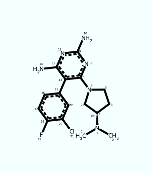 CN(C)[C@@H]1CCN(c2nc(N)nc(N)c2-c2ccc(F)c(Cl)c2)C1